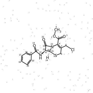 COC(=O)C1=C(CCl)CS[C@H]2[C@@H](NC(=O)c3ccccc3)C(=O)N12